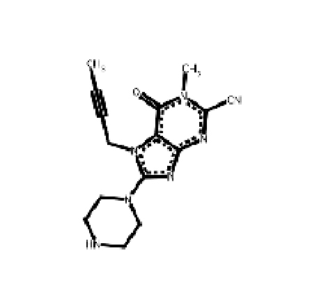 CC#CCn1c(N2CCNCC2)nc2nc(C#N)n(C)c(=O)c21